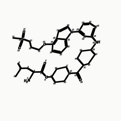 CC(C)CC(N)C(=O)OC1CCN(C(=O)C2CCC(Nc3nccc(-n4ccc5c(OCCCS(C)(=O)=O)cccc54)n3)CC2)CC1